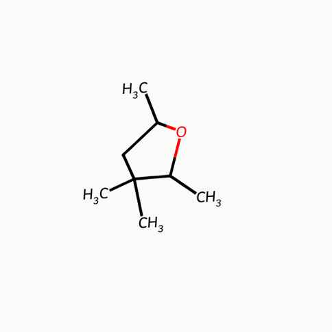 CC1CC(C)(C)C(C)O1